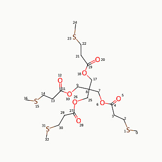 CSCCC(=O)OCC(COC(=O)CCSC)(COC(=O)CCSC)COC(=O)CCSC